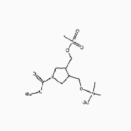 CC(C)(C)OC(=O)N1CC(CO[Si](C)(C)C(C)(C)C)C(COS(C)(=O)=O)C1